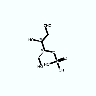 O=CC[C@H](O)[C@@H](CO)OP(=O)(O)O